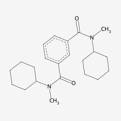 CN(C(=O)c1cccc(C(=O)N(C)C2CCCCC2)c1)C1CCCCC1